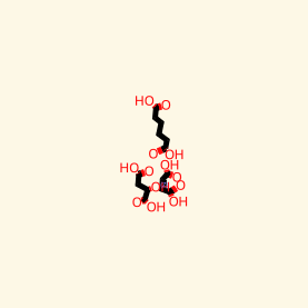 O=C(O)/C=C\C(=O)O.O=C(O)CC(O)C(=O)O.O=C(O)CCCCC(=O)O